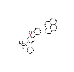 CC1(C)c2ccccc2-c2cc3c(cc21)oc1ccc(-c2ccc4ccc5cccc6ccc2c4c56)cc13